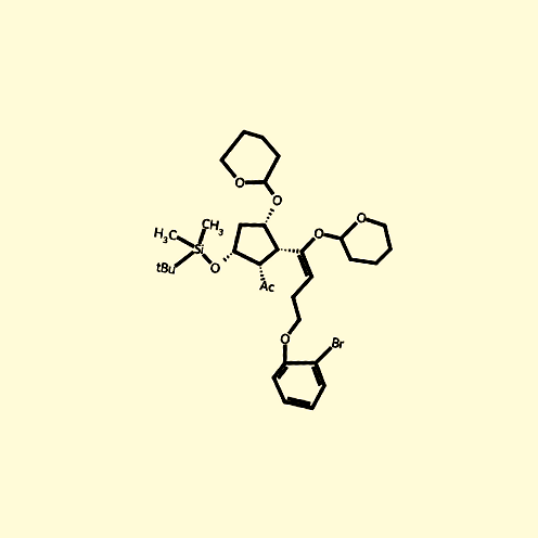 CC(=O)[C@H]1[C@@H](/C(=C\CCOc2ccccc2Br)OC2CCCCO2)[C@@H](OC2CCCCO2)C[C@H]1O[Si](C)(C)C(C)(C)C